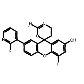 NC1=NCCC2(O1)c1cc(-c3cccnc3F)ccc1Oc1c(F)cc(O)cc12